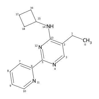 CCc1cnc(-c2ccccn2)nc1NC1CCC1